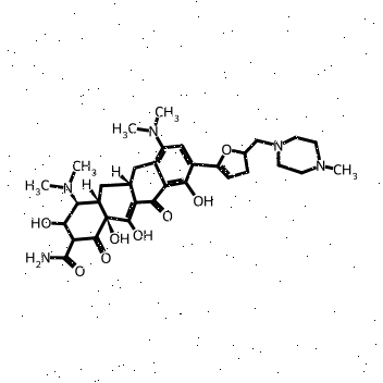 CN1CCN(CC2CC=C(c3cc(N(C)C)c4c(c3O)C(=O)C3=C(O)[C@]5(O)C(=O)C(C(N)=O)C(O)[C@@H](N(C)C)[C@@H]5C[C@@H]3C4)O2)CC1